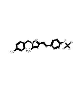 Cc1ccc(Cn2nc(C=Cc3ccc(OC(F)(F)F)cc3)cc2C)cc1